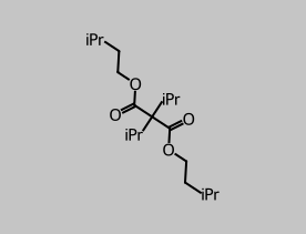 CC(C)CCOC(=O)C(C(=O)OCCC(C)C)(C(C)C)C(C)C